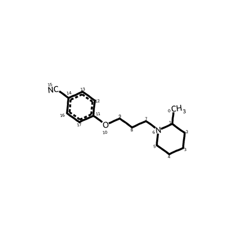 CC1CCCCN1CCCOc1ccc(C#N)cc1